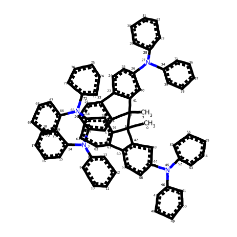 CC1(C2(C)c3cc(N(c4ccccc4)c4ccccc4)ccc3-c3ccc(N(c4ccccc4)c4ccccc4)cc32)c2cc(N(c3ccccc3)c3ccccc3)ccc2-c2ccc(N(c3ccccc3)c3ccccc3)cc21